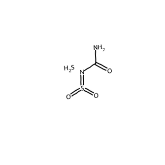 NC(=O)N=S(=O)=O.S